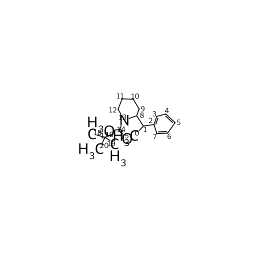 CC(c1ccccc1)C1CCCCN1C(=O)OC(C)(C)C